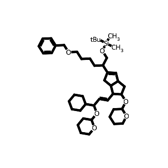 CC(C)(C)[Si](C)(C)OCC(CCCCOCc1ccccc1)C1=CC2CC(OC3CCCCO3)C(C=CC(OC3CCCCO3)C3CCCCC3)C2C1